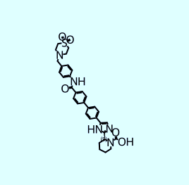 O=C(Nc1ccc(CN2CCS(=O)(=O)CC2)cc1)c1ccc(-c2ccc(-c3cnc([C@@H]4CCCCN4C(=O)O)[nH]3)cc2)cc1